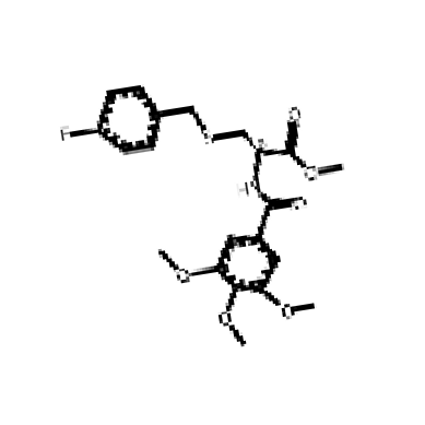 COC(=O)[C@H](CSCc1ccc(F)cc1)NC(=O)c1cc(OC)c(OC)c(OC)c1